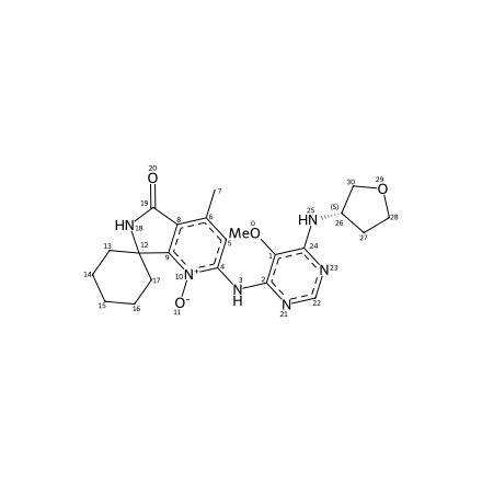 COc1c(Nc2cc(C)c3c([n+]2[O-])C2(CCCCC2)NC3=O)ncnc1N[C@H]1CCOC1